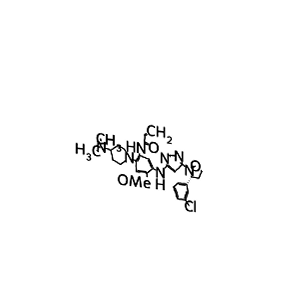 C=CC(=O)Nc1cc(Nc2cc(N3OCC[C@@H]3c3cccc(Cl)c3)ncn2)c(OC)cc1N1CCC(N(C)C)CC1